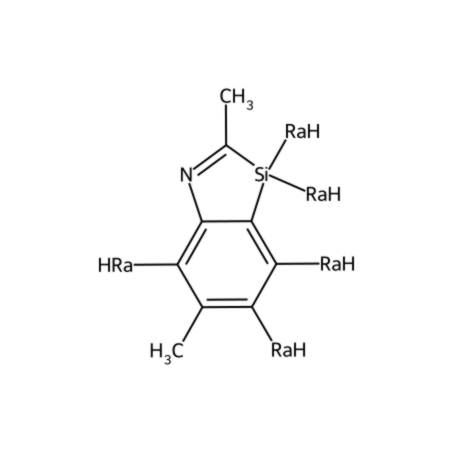 CC1=Nc2[c]([RaH])c(C)[c]([RaH])[c]([RaH])c2[Si]1([RaH])[RaH]